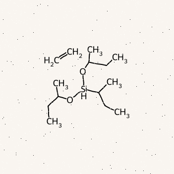 C=C.CCC(C)O[SiH](OC(C)CC)C(C)CC